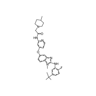 CC1CCN(CC(=O)Nc2cc(Oc3ccc4c(c3)nc(Nc3cc(C(C)(C)C)ccc3F)n4C)ccn2)CC1